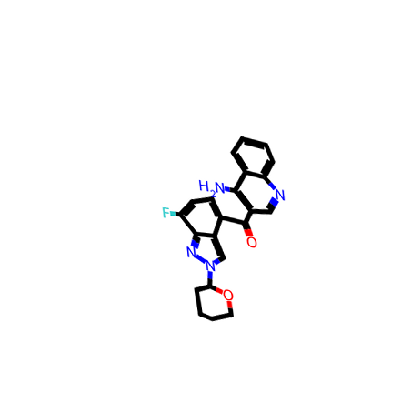 Nc1c(C(=O)c2ccc(F)c3nn(C4CCCCO4)cc23)cnc2ccccc12